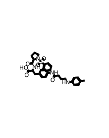 Cc1ccc(NCCCC(=O)Nc2ccc(CC(NC(=O)C3CCCN3S(=O)(=O)c3ccccc3)C(=O)O)cc2)cc1